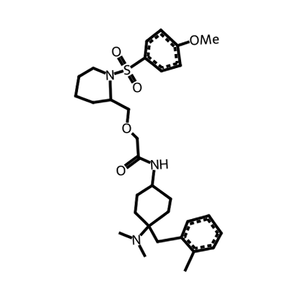 COc1ccc(S(=O)(=O)N2CCCCC2COCC(=O)NC2CCC(Cc3ccccc3C)(N(C)C)CC2)cc1